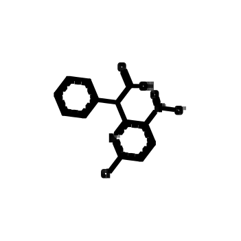 O=C(O)C(c1ccccc1)c1nc(Cl)ccc1[N+](=O)[O-]